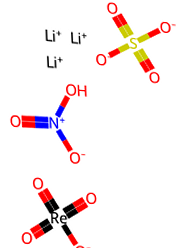 O=S(=O)([O-])[O-].O=[N+]([O-])O.[Li+].[Li+].[Li+].[O]=[Re](=[O])(=[O])[O-]